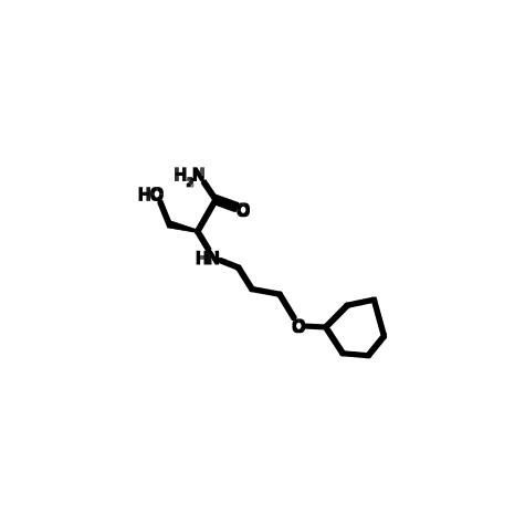 NC(=O)[C@H](CO)NCCCOC1CCCCC1